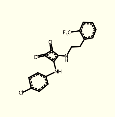 O=c1c(NCCc2ccccc2C(F)(F)F)c(Nc2ccc(Cl)cc2)c1=O